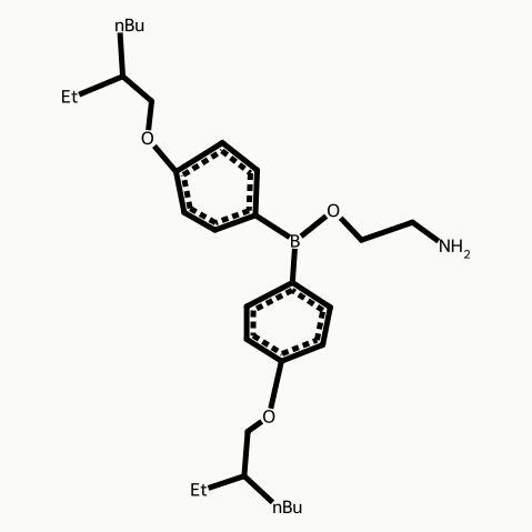 CCCCC(CC)COc1ccc(B(OCCN)c2ccc(OCC(CC)CCCC)cc2)cc1